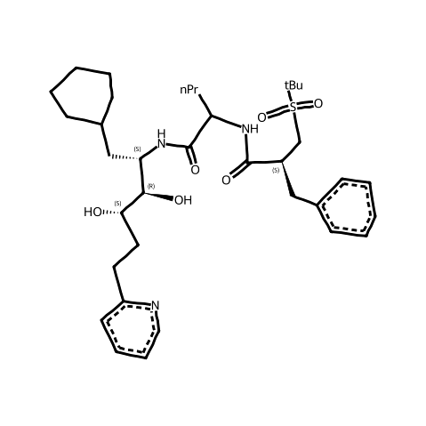 CCCC(NC(=O)[C@H](Cc1ccccc1)CS(=O)(=O)C(C)(C)C)C(=O)N[C@@H](CC1CCCCC1)[C@@H](O)[C@@H](O)CCc1ccccn1